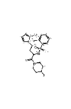 CC1CCN(C(=O)C(CCn2cccc2N)NS(=O)(=O)c2ccccc2O)CC1